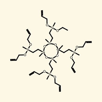 C=CCO[Si](C)(CC[Si]1(C)O[Si](C)(CC[Si](C)(OCC=C)OCC=C)O[Si](C)(CC[Si](C)(OCC=C)OCC=C)O[Si](C)(CC[Si](C)(OCC=C)OCC=C)O1)OCC